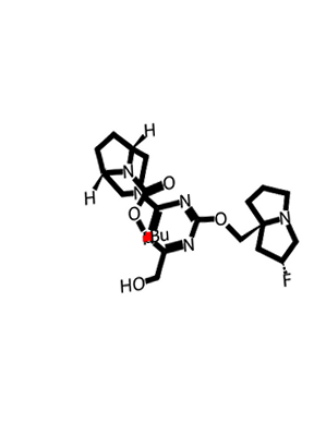 CC(C)(C)OC(=O)N1[C@@H]2CC[C@H]1CN(c1nc(CO)nc(OC[C@@]34CCCN3C[C@H](F)C4)n1)C2